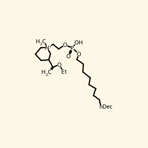 C=C(OCC)C1CCC[N+](C)(CCOP(=O)(O)OCCCCCCCCCCCCCCCCCC)C1